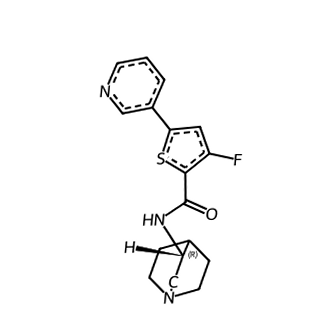 O=C(N[C@H]1CN2CCC1CC2)c1sc(-c2cccnc2)cc1F